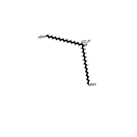 CCCCCCCCCCCCCCCCCCCCCCCCCCCCCC(=O)C(CCCCCCCCCCCCCCCCCCCCCCCCCCCC)C(=O)O